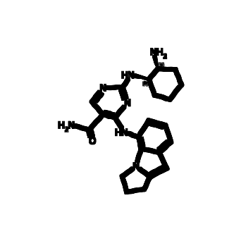 NC(=O)c1cnc(N[C@@H]2CCCC[C@@H]2N)nc1Nc1cccc2cc3n(c12)CCC3